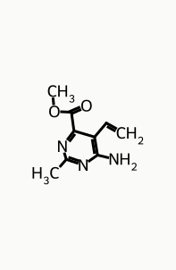 C=Cc1c(N)nc(C)nc1C(=O)OC